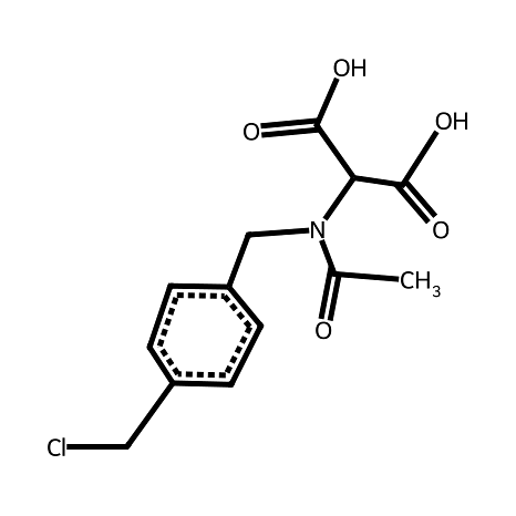 CC(=O)N(Cc1ccc(CCl)cc1)C(C(=O)O)C(=O)O